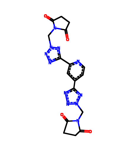 O=C1CCC(=O)N1Cn1nnc(-c2ccnc(-c3nnn(CN4C(=O)CCC4=O)n3)c2)n1